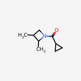 CC1CN(C(=O)C2CC2)C1C